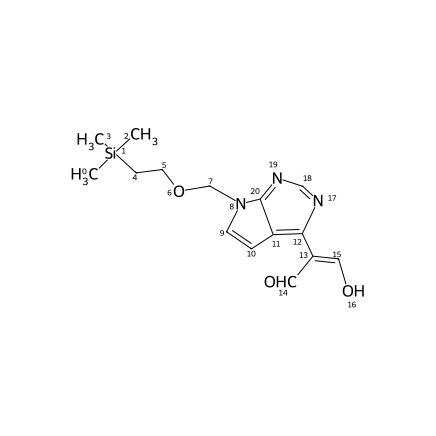 C[Si](C)(C)CCOCn1ccc2c(/C(C=O)=C/O)ncnc21